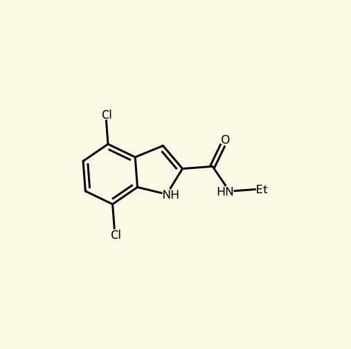 CCNC(=O)c1cc2c(Cl)ccc(Cl)c2[nH]1